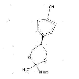 CCCCCC[C@]1(C)OC[C@@H](c2ccc(C#N)cc2)CO1